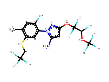 Cc1cc(F)c(-n2nc(OC(F)(F)C(F)OC(F)(F)F)cc2N)cc1SCC(F)(F)F